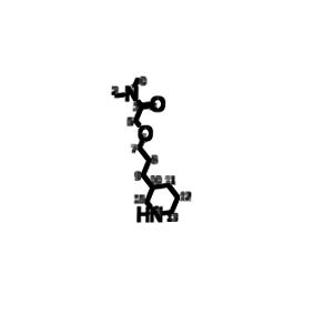 CN(C)C(=O)COCCCC1CCCNC1